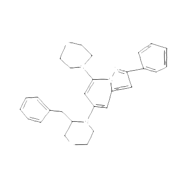 c1ccc(CC2COCCN2c2cc(N3CCOCC3)n3nc(-c4ccccc4)cc3c2)cc1